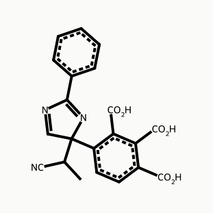 CC(C#N)C1(c2ccc(C(=O)O)c(C(=O)O)c2C(=O)O)C=NC(c2ccccc2)=N1